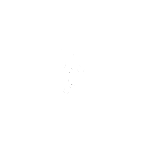 CC(C(=O)N1CCCC(C)(C)C1)N(C(=O)CNC(=O)n1ccnc1)c1ccccc1